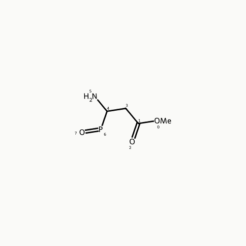 COC(=O)CC(N)P=O